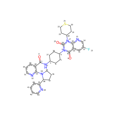 O=C(NC1CCC(n2c(=O)c3cc(F)cnc3n(C3CCSCC3)c2=O)CC1)c1cccnc1N1CCCC1c1ccccn1